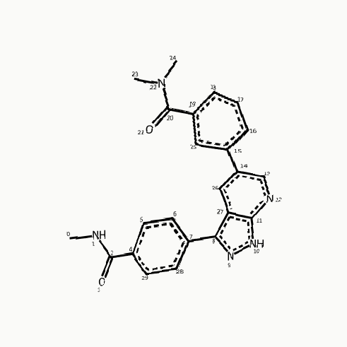 CNC(=O)c1ccc(-c2n[nH]c3ncc(-c4cccc(C(=O)N(C)C)c4)cc23)cc1